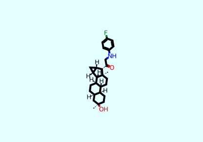 C[C@@]1(O)CC[C@H]2[C@H](CC[C@@H]3[C@@H]2CC[C@@]2(C)[C@H]3[C@@H]3C[C@@H]3[C@@H]2C(=O)CNc2ccc(F)cc2)C1